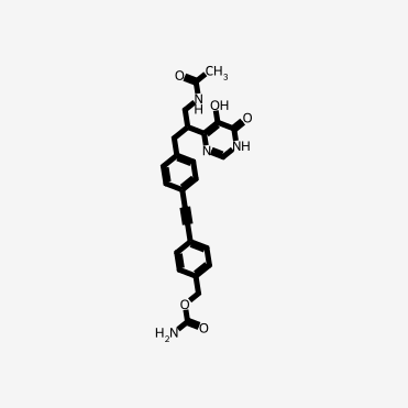 CC(=O)NCC(Cc1ccc(C#Cc2ccc(COC(N)=O)cc2)cc1)c1nc[nH]c(=O)c1O